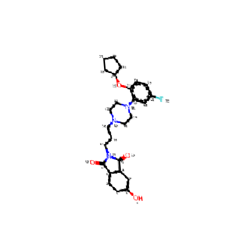 O=C1C2CCC(O)CC2C(=O)N1CCCN1CCN(c2cc(F)ccc2OC2CCCC2)CC1